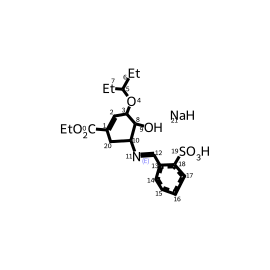 CCOC(=O)C1=CC(OC(CC)CC)C(O)C(/N=C/c2ccccc2S(=O)(=O)O)C1.[NaH]